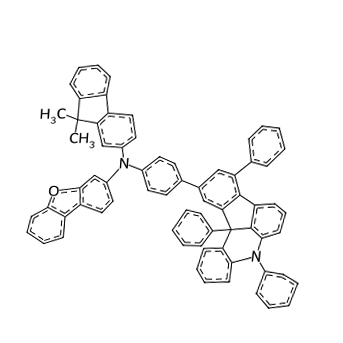 CC1(C)c2ccccc2-c2ccc(N(c3ccc(-c4cc(-c5ccccc5)c5c(c4)C4(c6ccccc6)c6ccccc6N(c6ccccc6)c6cccc-5c64)cc3)c3ccc4c(c3)oc3ccccc34)cc21